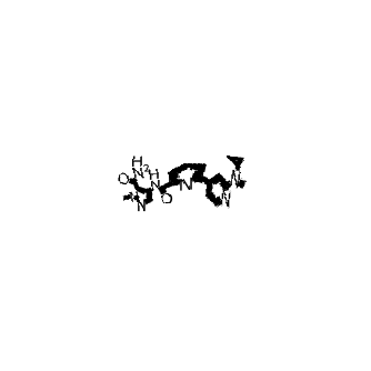 CN(c1cc(-c2cccc(C(=O)Nc3cnn(C)c3C(N)=O)n2)ccn1)C1CC1